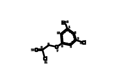 CCc1cc(Cl)cc(OCC(=O)Cl)c1